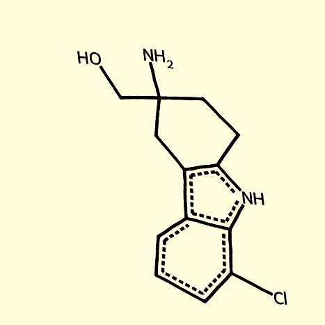 NC1(CO)CCc2[nH]c3c(Cl)cccc3c2C1